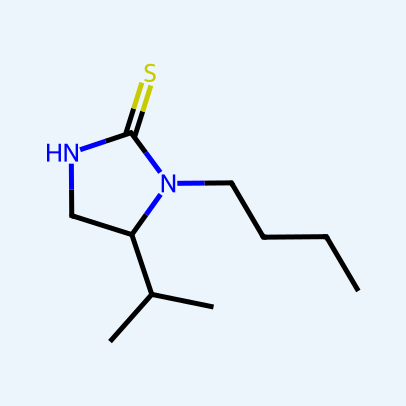 CCCCN1C(=S)NCC1C(C)C